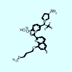 COCCCOc1cc(F)cc2ccc(-c3nnc4ccc([C@@H](N5CC[C@H](N)C5)C(F)(F)F)cn34)nc12.Cl.Cl